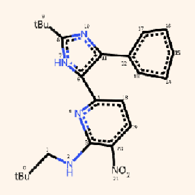 CC(C)(C)CNc1nc(-c2[nH]c(C(C)(C)C)nc2-c2ccccc2)ccc1[N+](=O)[O-]